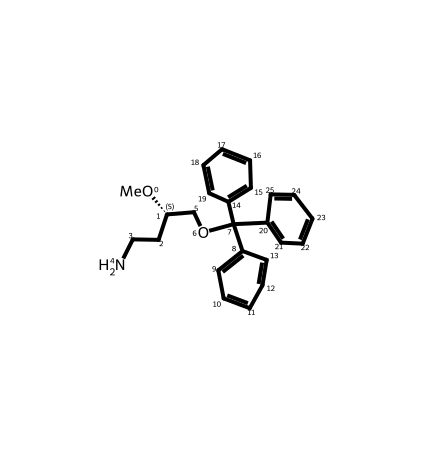 CO[C@@H](CCN)COC(c1ccccc1)(c1ccccc1)c1ccccc1